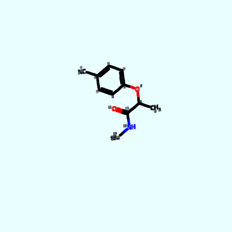 CC(Oc1ccc(C#N)cc1)C(=O)NC(C)(C)C